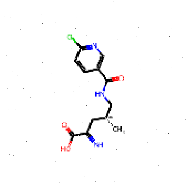 C[C@@H](CNC(=O)c1ccc(Cl)nc1)CC(=N)C(=O)O